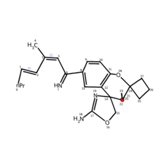 CCC/C=C/C(C)=C\C(=N)c1ccc2c(c1)C1(COC(N)=N1)C1(COC1)C1(CCC1)O2